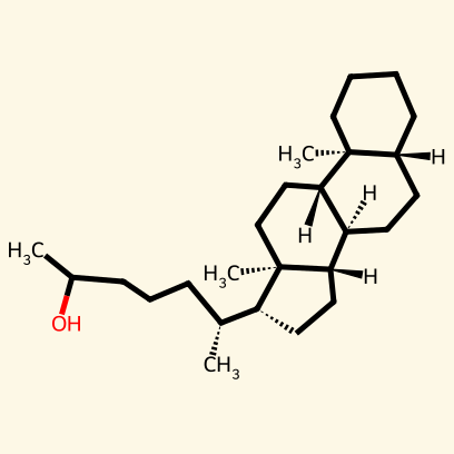 CC(O)CCC[C@@H](C)[C@H]1CC[C@H]2[C@@H]3CC[C@H]4CCCC[C@]4(C)[C@H]3CC[C@]12C